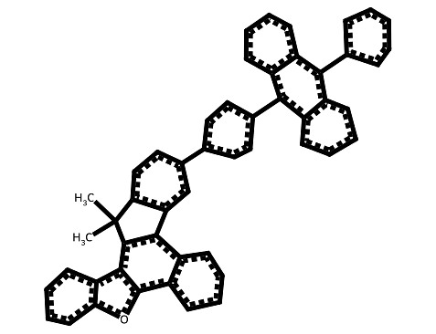 CC1(C)c2ccc(-c3ccc(-c4c5ccccc5c(-c5ccccc5)c5ccccc45)cc3)cc2-c2c1c1c3ccccc3oc1c1ccccc21